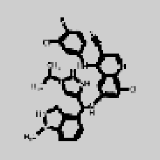 CC(C)N1C=C([C@@H](Nc2cc(Cl)c3ncc(C#N)c(Nc4ccc(F)c(Cl)c4)c3c2)c2cccc3c2CNN3C)NN1